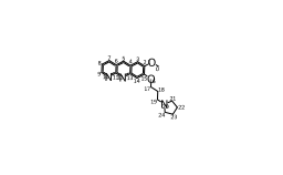 COc1cc2cc3cccnc3nc2cc1OCCCN1CCCC1